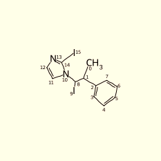 CC(c1ccccc1)C(I)n1ccnc1I